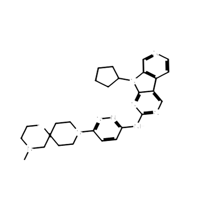 CN1CCOC2(CCN(c3ccc(Nc4ncc5c6ccncc6n(C6CCCC6)c5n4)nn3)CC2)C1